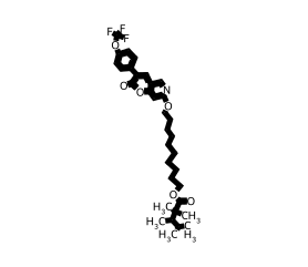 CC(C)C(C)C(C)(C)C(=O)OCCCCCCCCCCOc1cc2oc(=O)c(-c3ccc(OC(F)(F)F)cc3)cc2cn1